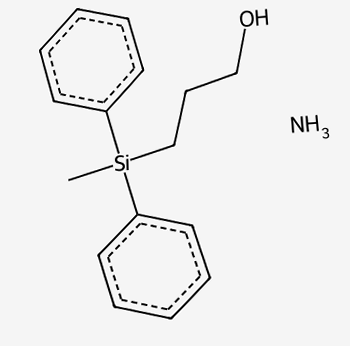 C[Si](CCCO)(c1ccccc1)c1ccccc1.N